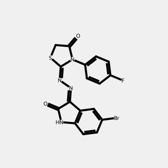 O=C1Nc2ccc(Br)cc2C1=NN=C1SCC(=O)N1c1ccc(F)cc1